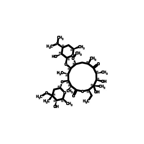 CC[C@H]1OC(=O)[C@H](C)[C@@H](O[C@H]2C[C@@](C)(OC)[C@@H](O)[C@H](C)O2)[C@H](C)[C@@H](O[C@@H]2O[C@H](C)C[C@H](N(C)C)[C@H]2O)[C@H](OC)C[C@@H](C)C(=O)[C@H](C)[C@@H](O)[C@]1(C)O